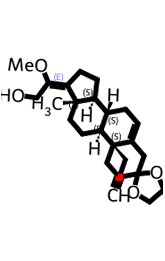 C#CC[C@]12CCC3(CC1=CC[C@@H]1[C@@H]2CC[C@]2(C)/C(=C(\CO)OC)CC[C@@H]12)OCCO3